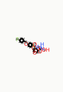 O=C(NO)OC1(NS(=O)(=O)c2ccc(OCc3ccc(F)cc3)cc2)CCOCC1